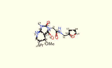 CCCc1cnc2c(c1OC)c(=O)n(CC(=O)NCc1ccco1)c(=O)n2C